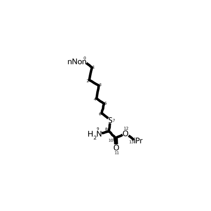 CCCCCCCCCCCCCCCSC(N)C(=O)OC(C)C